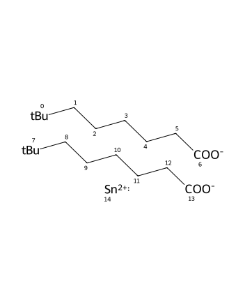 CC(C)(C)CCCCCC(=O)[O-].CC(C)(C)CCCCCC(=O)[O-].[Sn+2]